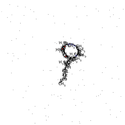 CCCOCCC(=O)N1CCN(c2ncc(CNC(=O)O[C@@H]3CC[C@@H](C[C@@H](N)[C@@H]4C[C@@H](OC)[C@H](C)/C=C(\C)[C@@H](O)[C@@H](OC)C(=O)[C@H](C)C[C@H](C)/C=C/C=C/C=C(\C)[C@@H](OC)C[C@@H]5CC[C@@H](C)[C@@](O)(O5)C(=O)C(=O)N5CCCC[C@H]5C(=O)O4)C[C@H]3OC)cn2)CC1